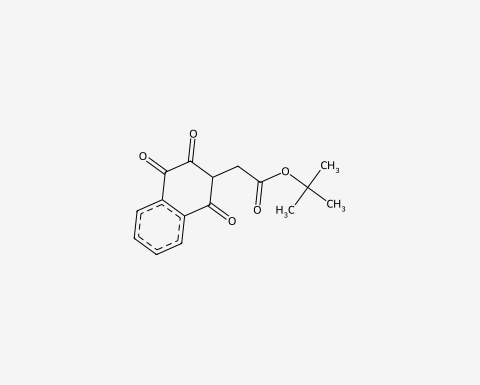 CC(C)(C)OC(=O)CC1C(=O)C(=O)c2ccccc2C1=O